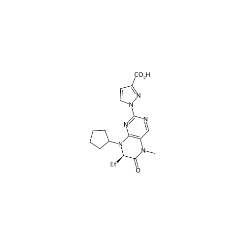 CC[C@@H]1C(=O)N(C)c2cnc(-n3ccc(C(=O)O)n3)nc2N1C1CCCC1